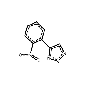 O=[N+]([O-])c1ccccc1-c1cnsn1